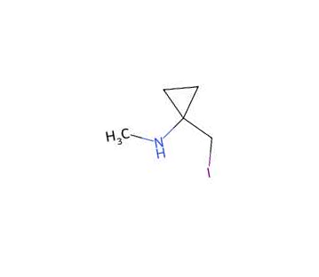 CNC1(CI)CC1